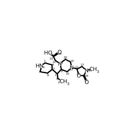 CCC(C1CCNCC1)C1CN(C2CN(C)C(=O)O2)CCN1CC(=O)O